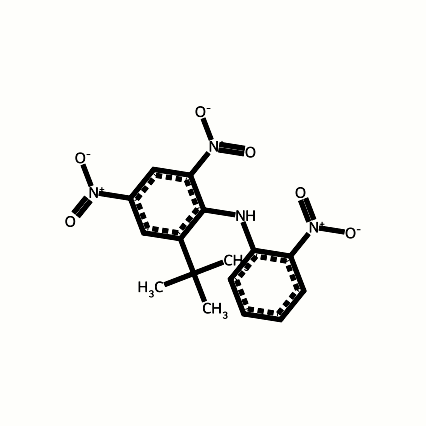 CC(C)(C)c1cc([N+](=O)[O-])cc([N+](=O)[O-])c1Nc1ccccc1[N+](=O)[O-]